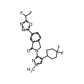 Cn1cc(C2CCC(F)(F)CC2)c(N2Cc3ccc(-c4nnc(C(F)F)o4)cc3C2=O)n1